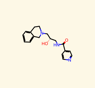 O=C(NC[C@H](O)CN1CCc2ccccc2C1)c1ccncc1